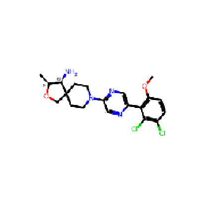 COc1ccc(Cl)c(Cl)c1-c1cnc(N2CCC3(CC2)CO[C@@H](C)[C@H]3N)[c]n1